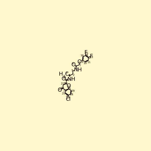 C=C(CCNC(=O)COc1ccc(F)c(F)c1)NC(=O)[C@@H]1CC(=O)c2cc(Cl)ccc2O1